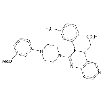 COc1cccc(N2CCN(C3=Nc4ccncc4C(CC(=O)O)N3c3cccc(C(F)(F)F)c3)CC2)c1